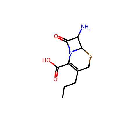 CCCC1=C(C(=O)O)N2C(=O)C(N)C2SC1